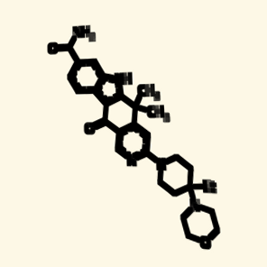 CCC1(N2CCOCC2)CCN(c2cc3c(cn2)C(=O)c2c([nH]c4cc(C(N)=O)ccc24)C3(C)C)CC1